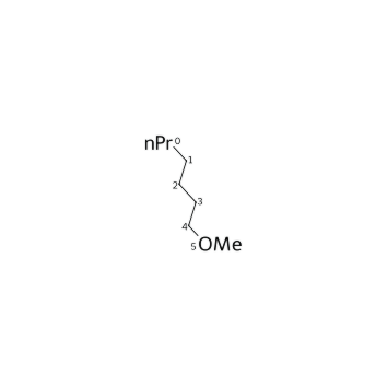 CCCCCCCOC